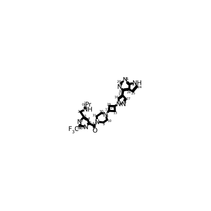 CC(C)NCc1cc(C(=O)N2CCN(C3CC(n4cc(-c5ncnc6[nH]ccc56)cn4)C3)CC2)nc(C(F)(F)F)n1